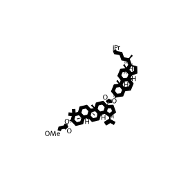 C=C(C)[C@@H]1CC[C@]2(C(=O)O[C@@H]3CC[C@@]4(C)C(=CC[C@H]5[C@@H]6CC[C@H]([C@H](C)CCCC(C)C)[C@@]6(C)CC[C@@H]54)C3)CC[C@]3(C)[C@H](CC[C@@H]4[C@@]5(C)CC[C@H](OC(=O)COC)C(C)(C)C5CC[C@]43C)C12